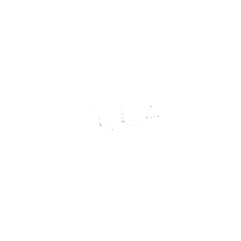 CCOC(=O)CC(=N)NC1CC1